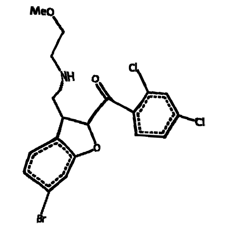 COCCNCC1c2ccc(Br)cc2OC1C(=O)c1ccc(Cl)cc1Cl